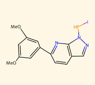 COc1cc(OC)cc(-c2ccc3cnn(PI)c3n2)c1